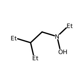 CCC(CC)CN(O)CC